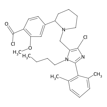 CCCCn1c(-c2c(C)cccc2C)nc(Cl)c1CN1CCCCC1c1ccc(C(=O)Cl)c(OC)c1